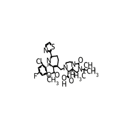 COC(=O)C1=C(CN2CCN3C(=O)N(C(C)(C)C)C[C@@H]3[C@H]2C(=O)O)CCC(c2nccs2)=N[C@H]1c1ccc(F)cc1Cl